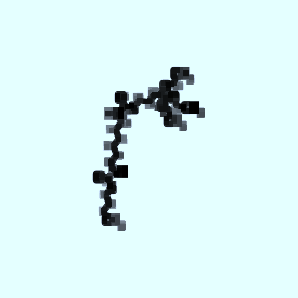 CCCCSC(=O)NCCCCCCNC(=O)SCCC[Si](OCC)(OCC)OCC